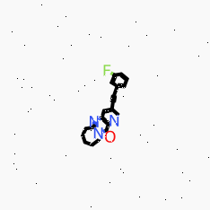 O=c1c2ncc(C#Cc3cccc(F)c3)cc2nc2n1CCCCC2